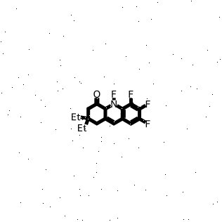 CCC1(CC)CC(=O)C2C(=Cc3cc(F)c(F)c(F)c3N2F)C1